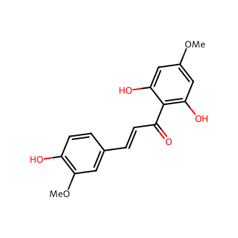 COc1cc(O)c(C(=O)/C=C/c2ccc(O)c(OC)c2)c(O)c1